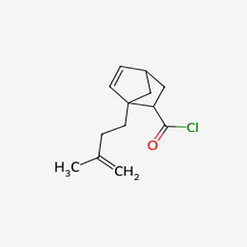 C=C(C)CCC12C=CC(CC1C(=O)Cl)C2